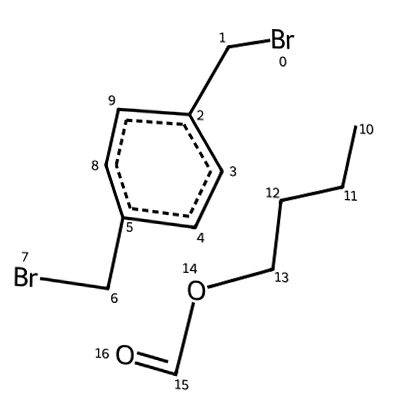 BrCc1ccc(CBr)cc1.CCCCOC=O